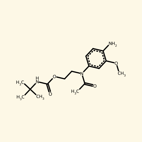 COc1cc(N(CCOC(=O)NC(C)(C)C)C(C)=O)ccc1N